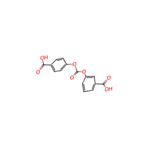 O=C(Oc1ccc(C(=O)O)cc1)Oc1cccc(C(=O)O)c1